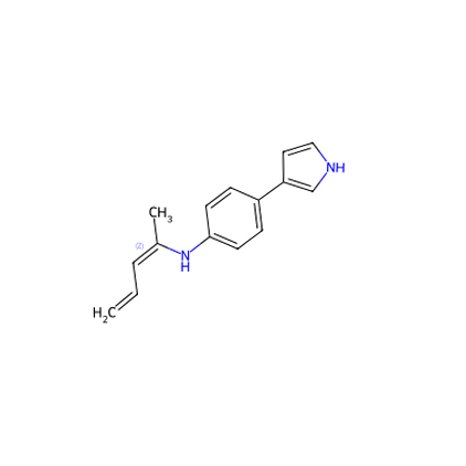 C=C/C=C(/C)Nc1ccc(-c2cc[nH]c2)cc1